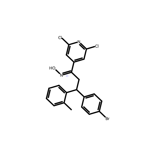 Cc1ccccc1C(C/C(=N/O)c1cc(Cl)nc(Cl)c1)c1ccc(Br)cc1